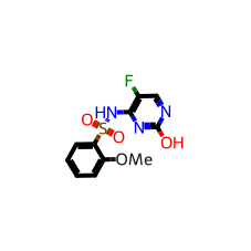 COc1ccccc1S(=O)(=O)Nc1nc(O)ncc1F